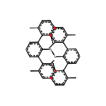 Cc1cccc(C)c1-c1cccc(-c2c(C)cccc2C)c1SSc1c(-c2c(C)cccc2C)cccc1-c1c(C)cccc1C